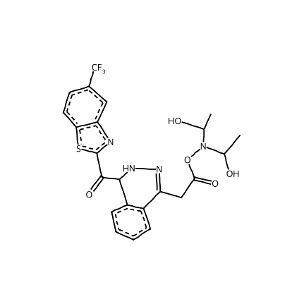 CC(O)N(OC(=O)CC1=NNC(C(=O)c2nc3cc(C(F)(F)F)ccc3s2)c2ccccc21)C(C)O